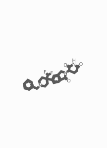 O=C1CCC(N2Cc3cc(C4(C(F)F)CCN(Cc5ccccc5)CC4)ccc3C2=O)C(=O)N1